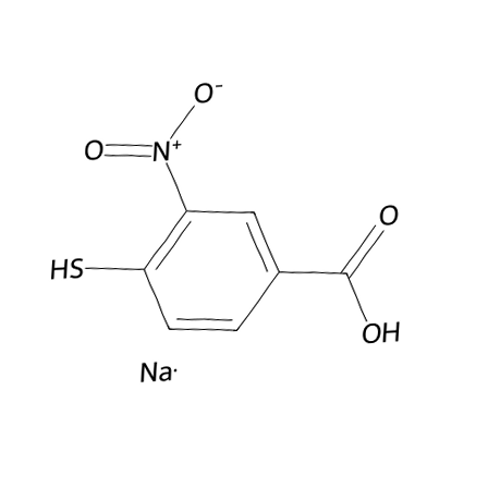 O=C(O)c1ccc(S)c([N+](=O)[O-])c1.[Na]